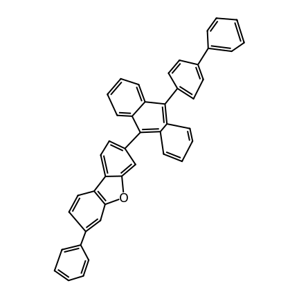 c1ccc(-c2ccc(-c3c4ccccc4c(-c4ccc5c(c4)oc4cc(-c6ccccc6)ccc45)c4ccccc34)cc2)cc1